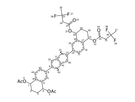 CC(=O)OC1CCC(OC(C)=O)c2cc(-c3cc4sc(-c5ccc6c(c5)C(OC(=O)CC(C)(F)F)CCC6OC(=O)CC(C)(F)F)cc4s3)ccc21